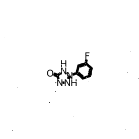 O=C1[N]NN(c2cccc(F)c2)N1